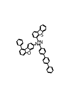 c1ccc(-c2ccc(-c3ccc(C4=NC(c5cccc6c5sc5ccccc56)N4c4ccc5c(c4)oc4cccc(-c6ccccc6)c45)cc3)cc2)cc1